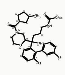 CCc1cccc(-c2c(Cl)cccc2C(O)(CCCNC(=O)OC)C2CN(C(=O)C3CCC(N)C3)CCO2)c1